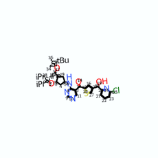 CC(C)[Si](O[C@H]1C[C@H](Nc2ncncc2C(=O)c2cc([C@@H](O)c3cccc(Cl)n3)cs2)C[C@@H]1CO[Si](C)(C)C(C)(C)C)(C(C)C)C(C)C